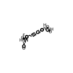 O=C1CCC(Nc2ccc(N3CCC(N4CCN(CCc5cc(F)c6c(=O)[nH]c(CSC7CCOCC7)nc6c5)CC4)CC3)cc2)C(=O)N1